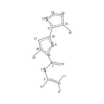 C=C(SC(C)=C(C)C)c1sc(-c2sccc2C)cc1C